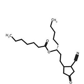 CCCCCCC(=O)O[C@H](CCCCC)CCC1CC(=O)CC1C#N